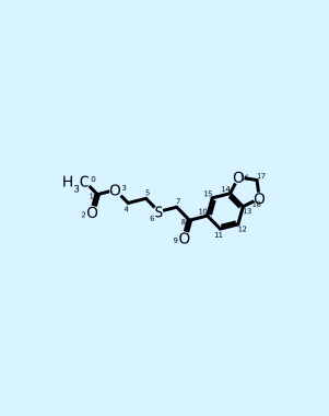 CC(=O)OCCSCC(=O)c1ccc2c(c1)OCO2